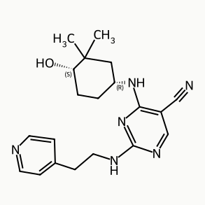 CC1(C)C[C@H](Nc2nc(NCCc3ccncc3)ncc2C#N)CC[C@@H]1O